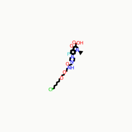 O=C(CN1CCN(c2cc3c(cc2F)c(=O)c(C(=O)O)cn3C2CC2)CC1)NCCOCCOCCCCCCCl